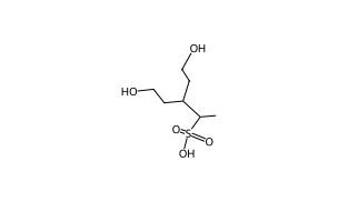 CC(C(CCO)CCO)S(=O)(=O)O